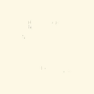 Cc1[nH]n[c]c1CC(C)O